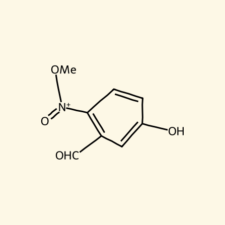 CO[N+](=O)c1ccc(O)cc1C=O